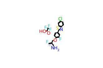 NC/C(=C/F)COc1ccc(-c2nc3ccc(Cl)cc3s2)cc1F.O=C(O)C(F)(F)F